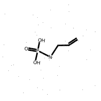 C=CC[N]P(=O)(O)O